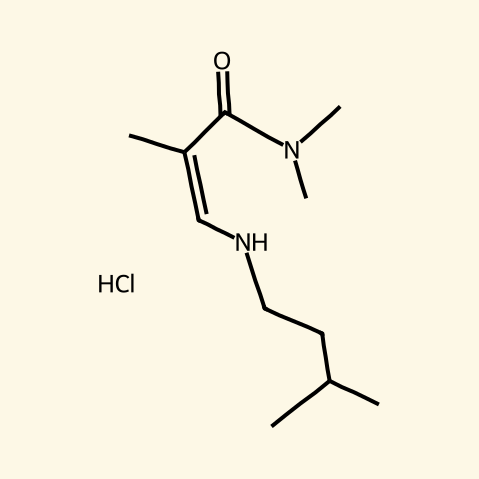 CC(=CNCCC(C)C)C(=O)N(C)C.Cl